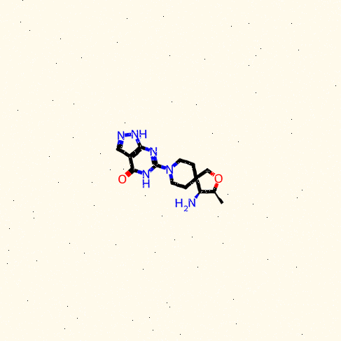 C[C@@H]1OCC2(CCN(c3nc4[nH]ncc4c(=O)[nH]3)CC2)[C@@H]1N